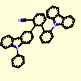 N#Cc1cccc(-c2ccccc2-n2c3ccccc3c3ccccc32)c1-c1ccc2c(c1)c1ccccc1n2-c1ccccc1